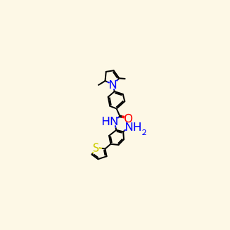 CC1=CCC(C)N1c1ccc(C(=O)Nc2cc(-c3cccs3)ccc2N)cc1